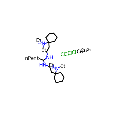 CCCCCC(NCCC1([16N](CC)CC)CCCCC1)NCCC1([16N](CC)CC)CCCCC1.[Cl-].[Cl-].[Cl-].[Cl-].[Cu+2].[Cu+2]